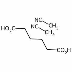 CC#N.CC#N.O=C(O)CCCCC(=O)O